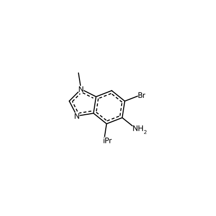 CC(C)c1c(N)c(Br)cc2c1ncn2C